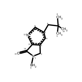 BN1Cc2cc(CC(C)(C)C)cnc2C1=O